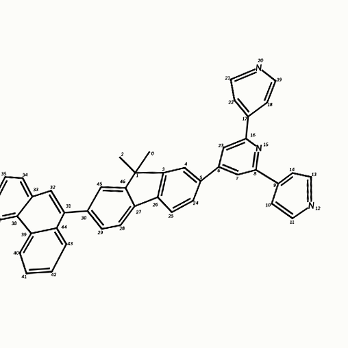 CC1(C)c2cc(-c3cc(-c4ccncc4)nc(-c4ccncc4)c3)ccc2-c2ccc(-c3cc4ccccc4c4ccccc34)cc21